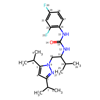 CC(C)c1cc(C(C)C)n(CC(NC(=O)Nc2ccc(F)cc2F)C(C)C)n1